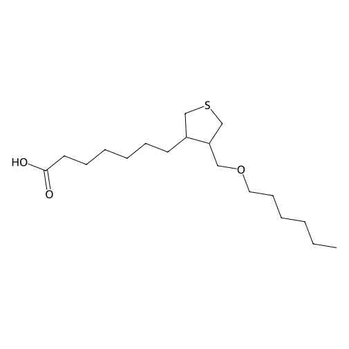 CCCCCCOCC1CSCC1CCCCCCC(=O)O